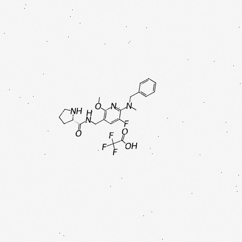 COc1nc(N(C)Cc2ccccc2)c(F)cc1CNC(=O)[C@@H]1CCCN1.O=C(O)C(F)(F)F